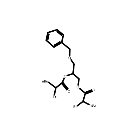 CCCCC(CC)C(=O)OCC(COCc1ccccc1)OC(=O)C(CC)CCCC